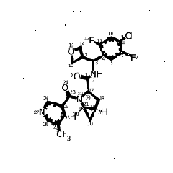 O=C(NC(c1cc(F)c(Cl)cc1F)C1COC1)[C@H]1C[C@H]2C[C@H]2N1C(=O)c1cncc(C(F)(F)F)c1